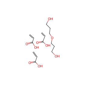 C=CC(=O)O.C=CC(=O)O.C=CC(=O)O.OCCCOCCCO